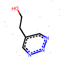 OCCc1cnnnc1